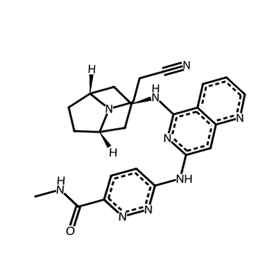 CNC(=O)c1ccc(Nc2cc3ncccc3c(N[C@@H]3C[C@H]4CC[C@@H](C3)N4CCC#N)n2)nn1